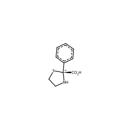 O=C(O)[C@@]1(c2ccccc2)NCCS1